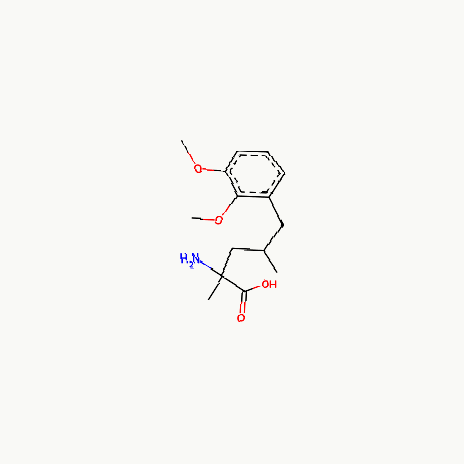 COc1cccc(CC(C)CC(C)(N)C(=O)O)c1OC